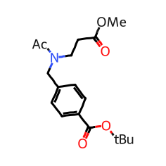 COC(=O)CCN(Cc1ccc(C(=O)OC(C)(C)C)cc1)C(C)=O